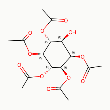 CC(=O)O[C@@H]1[C@@H](OC(C)=O)[C@H](OC(C)=O)[C@@H](O)[C@@H](OC(C)=O)[C@H]1OC(C)=O